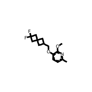 COc1nc(C)ccc1OCC1CC2(C1)CC(F)(F)C2